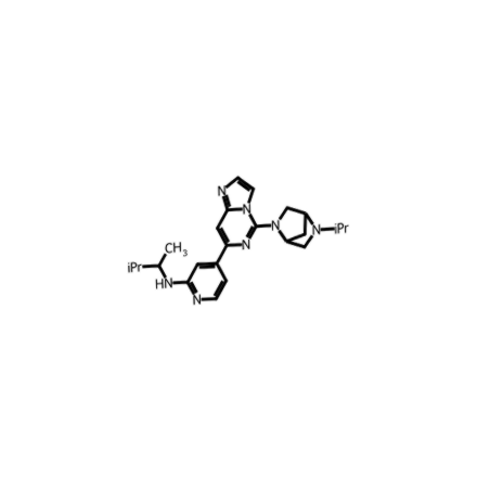 CC(C)C(C)Nc1cc(-c2cc3nccn3c(N3CC4CC3CN4C(C)C)n2)ccn1